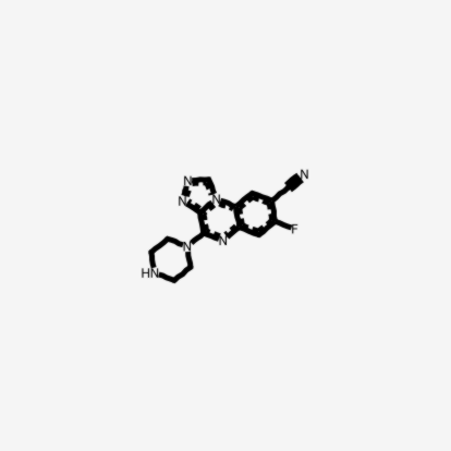 N#Cc1cc2c(cc1F)nc(N1CCNCC1)c1nncn12